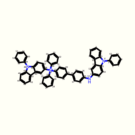 c1ccc(-n2c3ccccc3c3cc(Nc4ccc(-c5ccc([N+](c6ccccc6)(c6ccccc6)c6ccc7c(c6)c6ccccc6n7-c6ccccc6)cc5)cc4)ccc32)cc1